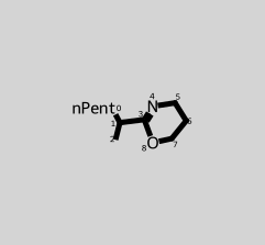 CCCCCC(C)C1=NCCCO1